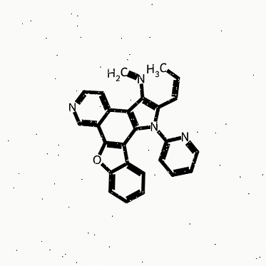 C=Nc1c(/C=C\C)n(-c2ccccn2)c2c1c1ccncc1c1oc3ccccc3c12